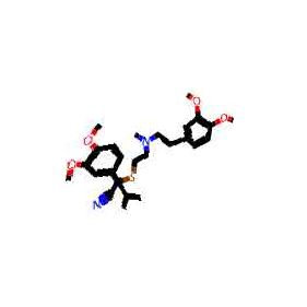 COc1ccc(CCN(C)CCSC(C#N)(c2ccc(OC)c(OC)c2)C(C)C)cc1OC